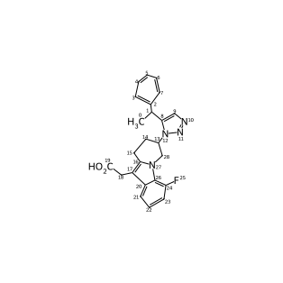 CC(c1ccccc1)c1cnnn1C1CCc2c(CC(=O)O)c3cccc(F)c3n2C1